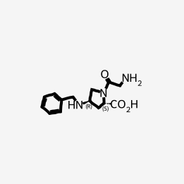 NCC(=O)N1C[C@H](NCc2ccccc2)C[C@H]1C(=O)O